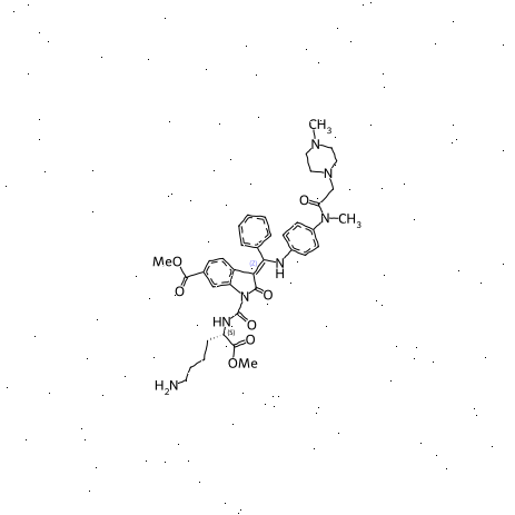 COC(=O)c1ccc2c(c1)N(C(=O)N[C@@H](CCCCN)C(=O)OC)C(=O)/C2=C(\Nc1ccc(N(C)C(=O)CN2CCN(C)CC2)cc1)c1ccccc1